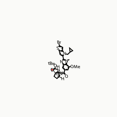 COc1cc(C(=O)N2C[C@H]3CC[C@@H]2[C@@H]3NC(=O)OC(C)(C)C)cc2nc(-c3cc4sc(Br)cc4n3CC3CC3)n(C)c12